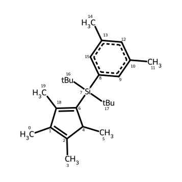 CC1=C(C)C(C)C([Si](c2cc(C)cc(C)c2)(C(C)(C)C)C(C)(C)C)=C1C